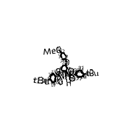 COc1ccc(Oc2ccc(NS(=O)(=O)c3ccc(C(C)(C)C)cc3)c(NS(=O)(=O)c3ccc(C(C)(C)C)cc3)c2)cc1